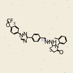 Cc1ccccc1N1C(=O)CSC1N/N=C/c1ccc(-c2ncn(-c3ccc(OC(F)(F)F)cc3)n2)cc1